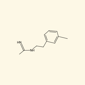 CC(=N)NCCc1cccc(C)c1